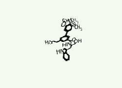 COc1cc(-c2cc(CCO)cc(C(=O)N[C@@H](CO)Cc3c[nH]c4ccccc34)c2)cc(OC)c1OC